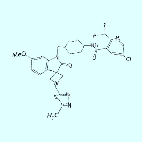 COc1ccc2c(c1)N(CC1CCC(NC(=O)c3cc(Cl)cnc3C(F)F)CC1)C(=O)C21CN(c2nnc(C)s2)C1